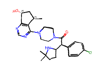 C[C@@H]1C[C@@H](O)c2ncnc(N3CCN(C(=O)C(c4ccc(Cl)cc4)C4CCC(C)(C)N4)CC3)c21